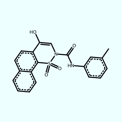 Cc1cccc(NC(=O)N2C=C(O)c3ccc4ccccc4c3S2(=O)=O)c1